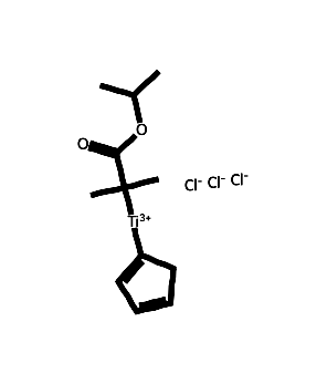 CC(C)OC(=O)[C](C)(C)[Ti+3][C]1=CC=CC1.[Cl-].[Cl-].[Cl-]